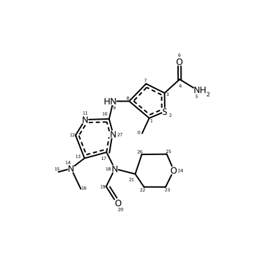 Cc1sc(C(N)=O)cc1Nc1ncc(N(C)C)c(N(C=O)C2CCOCC2)n1